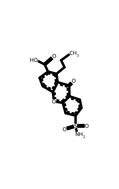 CCCc1c(C(=O)O)ccc2oc3cc(S(N)(=O)=O)ccc3c(=O)c12